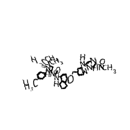 CNC(=O)c1cnc(Nc2cc(COc3ccc(NC(=O)Nc4cc(C(C)(C)C)nn4-c4ccc(C)cc4)c4ccccc34)ccn2)cn1